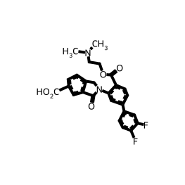 CN(C)CCOC(=O)c1ccc(-c2ccc(F)c(F)c2)cc1N1Cc2ccc(C(=O)O)cc2C1=O